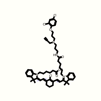 C#CCN(CCCNC(=O)CCCCC[N+]1=C(/C=C/C2=C(Cl)C(=C/C=C3\N(CCCCCC(=O)O)c4ccccc4C3(C)C)/CCC2)C(C)(C)c2ccccc21)CCCOc1ccc(Cl)cc1Cl